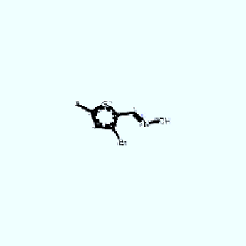 Cc1cc(Br)c(/C=N/O)s1